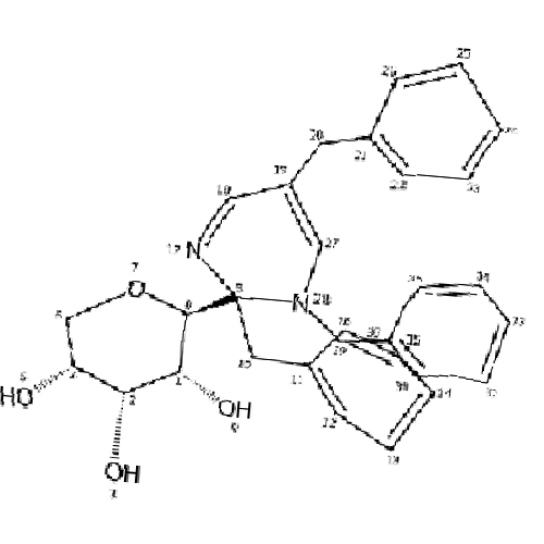 O[C@@H]1[C@H](O)[C@H](O)CO[C@H]1C1(Cc2ccccc2)N=CC(Cc2ccccc2)=CN1Cc1ccccc1